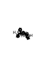 C[C@@H]1CCCCC1n1c(Cc2cccs2)nc2cc(C(=O)NC(CC3CCC3)C(=O)O)ccc21